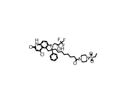 CCS(=O)(=O)N1CCN(C(=O)CCCCCCCC2(c3ccccc3)Cc3c(ccc4[nH]c(=O)cc(Cl)c34)N2C[C@@H](O)C(F)(F)F)CC1